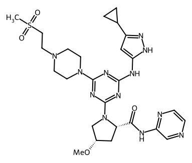 CO[C@H]1C[C@@H](C(=O)Nc2cnccn2)N(c2nc(Nc3cc(C4CC4)n[nH]3)nc(N3CCN(CCS(C)(=O)=O)CC3)n2)C1